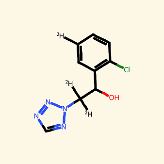 [2H]c1ccc(Cl)c(C(O)C([2H])([2H])n2ncnn2)c1